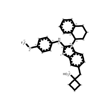 O=C(O)C1(Cc2ccc3c(c2)nc(Nc2ccc(OC(F)(F)F)cc2)n3C2CCCc3ccccc32)CCC1